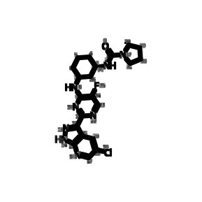 O=C(N[C@@H]1CCCC(Nc2nc(-c3n[nH]c4ncc(Cl)cc34)ncc2F)C1)N1CCCC1